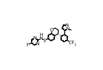 Cn1nccc1-c1cc(C(F)(F)F)ccc1[C@H]1CCOc2cc(SNc3ncc(F)cn3)ccc21